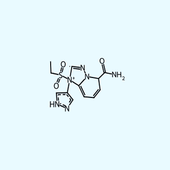 CCS(=O)(=O)[N+]1(c2cn[nH]c2)[C]=NN2C1=CC=CC2C(N)=O